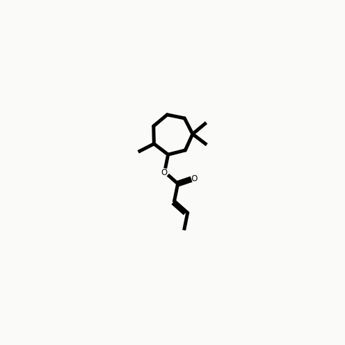 CC=CC(=O)OC1CC(C)(C)CCCC1C